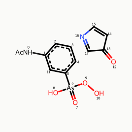 CC(=O)Nc1cccc([As](=O)(O)OO)c1.O=C1C=CN=C1